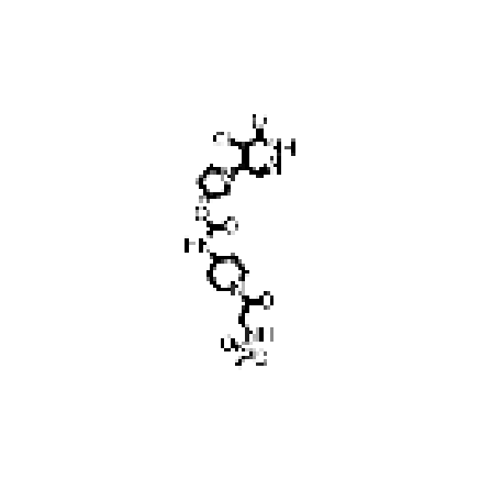 CS(=O)(=O)NCC(=O)N1CCC(NC(=O)O[C@@H]2CCN(c3cn[nH]c(=O)c3Cl)C2)CC1